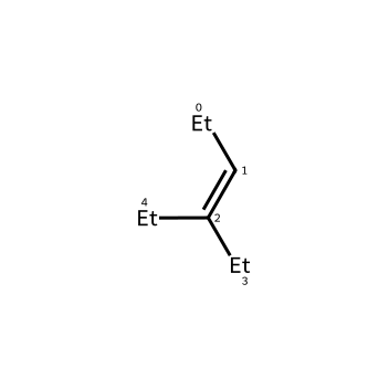 [CH2]CC=C(CC)CC